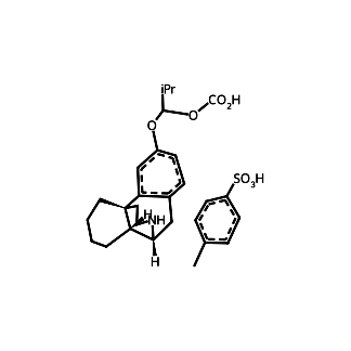 CC(C)C(OC(=O)O)Oc1ccc2c(c1)[C@@]13CCCC[C@H]1[C@@H](C2)NCC3.Cc1ccc(S(=O)(=O)O)cc1